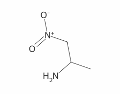 CC(N)C[N+](=O)[O-]